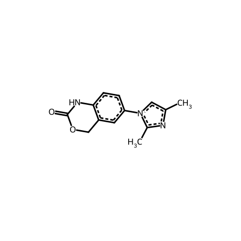 Cc1cn(-c2ccc3c(c2)COC(=O)N3)c(C)n1